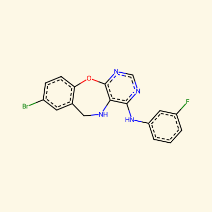 Fc1cccc(Nc2ncnc3c2NCc2cc(Br)ccc2O3)c1